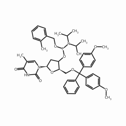 COc1ccc(C(OC[C@H]2O[C@@H](n3cc(C)c(=O)[nH]c3=O)CC2OP(OCc2ccccc2C)N(C(C)C)C(C)C)(c2ccccc2)c2ccc(OC)cc2)cc1